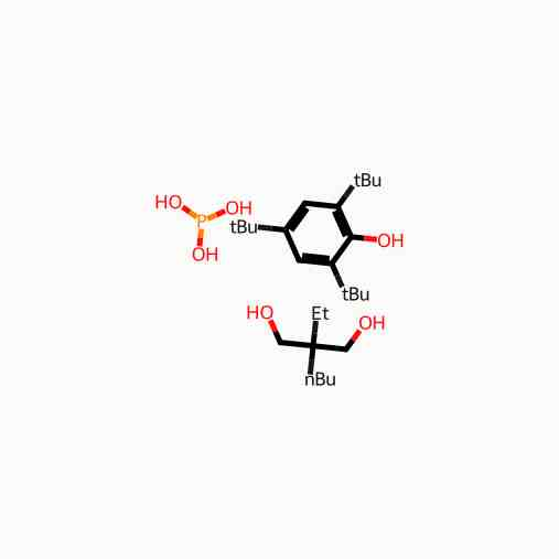 CC(C)(C)c1cc(C(C)(C)C)c(O)c(C(C)(C)C)c1.CCCCC(CC)(CO)CO.OP(O)O